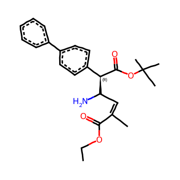 CCOC(=O)C(C)=CC(N)[C@H](C(=O)OC(C)(C)C)c1ccc(-c2ccccc2)cc1